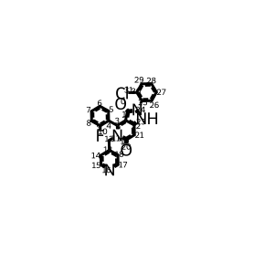 O=c1c2c(-c3ccccc3F)n(Cc3ccncc3)c(=O)cc2[nH]n1-c1ccccc1Cl